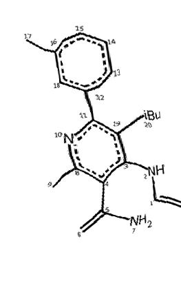 C=CNc1c(C(=C)N)c(C)nc(-c2cccc(C)c2)c1C(C)CC